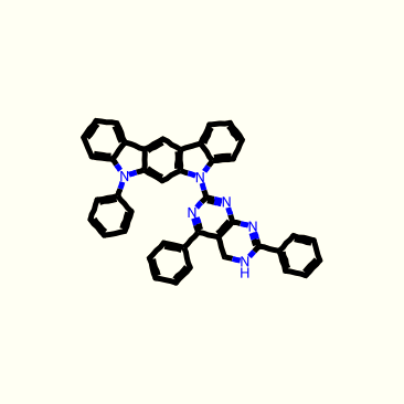 c1ccc(C2=Nc3nc(-n4c5ccccc5c5cc6c7ccccc7n(-c7ccccc7)c6cc54)nc(-c4ccccc4)c3CN2)cc1